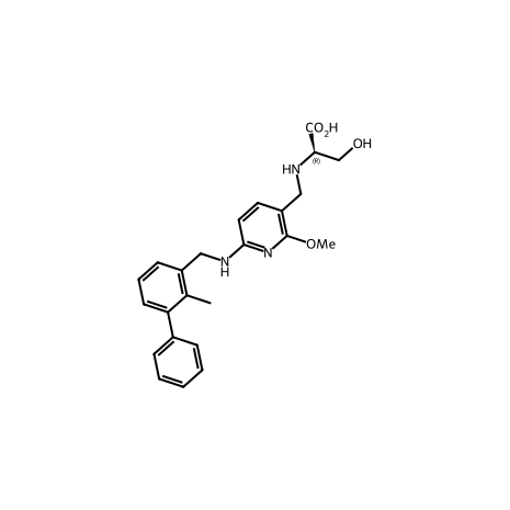 COc1nc(NCc2cccc(-c3ccccc3)c2C)ccc1CN[C@H](CO)C(=O)O